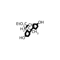 C=C(C)C(=O)OCC.CC(C)(c1ccc(O)cc1)c1ccc(O)cc1